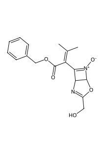 CC(C)=C(C(=O)OCc1ccccc1)C1=[N+]([O-])C2OC(CO)=NC12